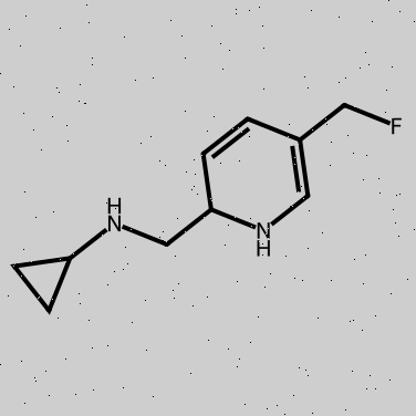 FCC1=CNC(CNC2CC2)C=C1